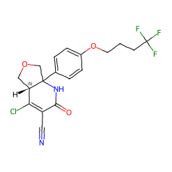 N#CC1=C(Cl)[C@@H]2COCC2(c2ccc(OCCCC(F)(F)F)cc2)NC1=O